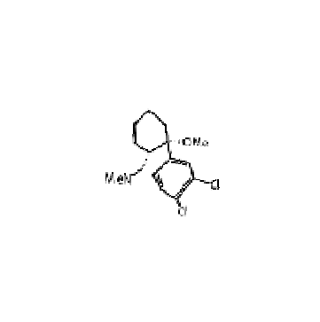 CNC[C@@H]1CCCC[C@@]1(OC)c1ccc(Cl)c(Cl)c1